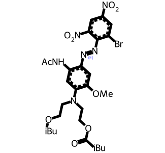 CCC(C)OCCN(CCOC(=O)C(C)CC)c1cc(NC(C)=O)c(/N=N/c2c(Br)cc([N+](=O)[O-])cc2[N+](=O)[O-])cc1OC